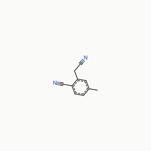 Cc1ccc(C#N)c(CC#N)c1